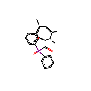 CC1=CC(C)=C(C(=O)P(=O)(c2ccccc2)c2ccccc2)[C@H](C)C(C)=C1